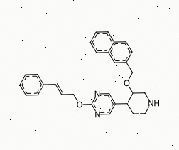 C(=Cc1ccccc1)COc1ncc(C2CCNCC2OCc2ccc3ccccc3c2)cn1